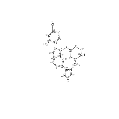 CC1CN(Cc2c(-c3ccc(Cl)cc3Cl)nc3ccc(-c4ncon4)cn23)CCN1